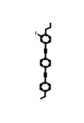 CCCc1ccc(C#Cc2ccc(C#Cc3ccc(CC)cc3)cc2)cc1F